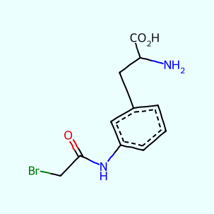 NC(Cc1cccc(NC(=O)CBr)c1)C(=O)O